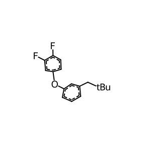 CC(C)(C)Cc1cccc(Oc2ccc(F)c(F)c2)c1